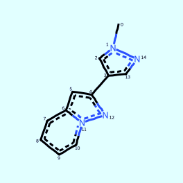 Cn1cc(-c2cc3ccccn3n2)cn1